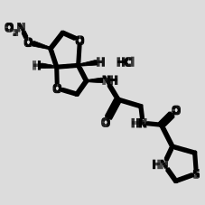 Cl.O=C(CNC(=O)C1CSCN1)N[C@H]1CO[C@H]2[C@@H]1OC[C@@H]2O[N+](=O)[O-]